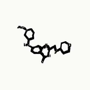 CC(=O)N1CCCC(Nc2ccc3c(=O)[nH]c(CSC4CCOCC4)nc3c2)C1